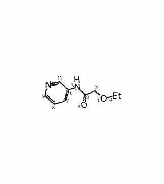 CCOCC(=O)Nc1cccnc1